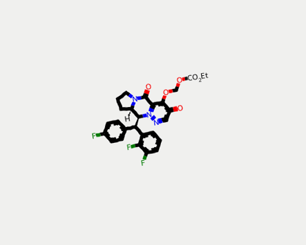 CCOC(=O)OCOc1c2n(ncc1=O)[C@@H](C(c1ccc(F)cc1)c1cccc(F)c1F)[C@H]1CCCN1C2=O